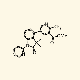 COC(=O)c1cc(-c2cccc3c2C(C)(C)C(=O)N3c2ccncn2)cnc1C(F)(F)F